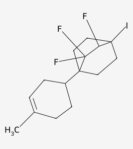 CC1=CCC(C23CCC(I)(CC2)C(F)C3(F)F)CC1